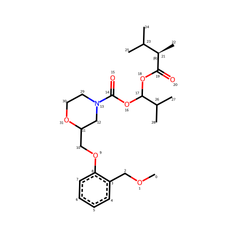 COCc1ccccc1OCC1CN(C(=O)OC(OC(=O)[C@H](C)C(C)C)C(C)C)CCO1